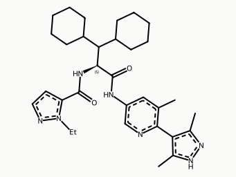 CCn1nccc1C(=O)N[C@H](C(=O)Nc1cnc(-c2c(C)n[nH]c2C)c(C)c1)C(C1CCCCC1)C1CCCCC1